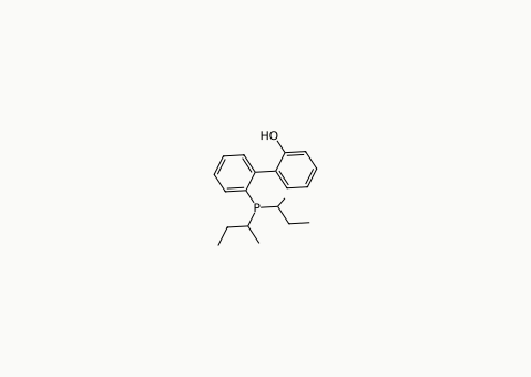 CCC(C)P(c1ccccc1-c1ccccc1O)C(C)CC